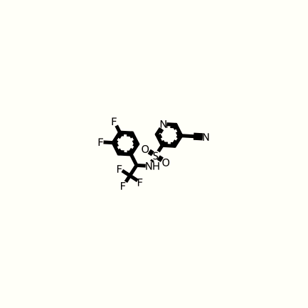 N#Cc1cncc(S(=O)(=O)NC(c2ccc(F)c(F)c2)C(F)(F)F)c1